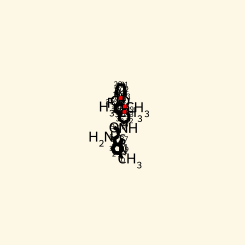 Cc1ccc2c(N)c(C(=O)N[C@H]3CCc4cc(N5CC6CCC(C5)N6C(=O)OC(C)(C)C)c(F)cc4C3)sc2n1